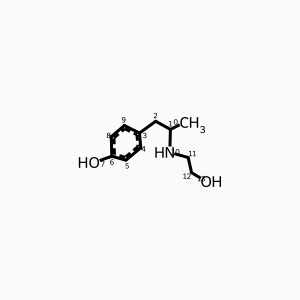 CC(Cc1ccc(O)cc1)NCCO